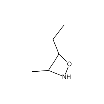 CCC1ONC1C